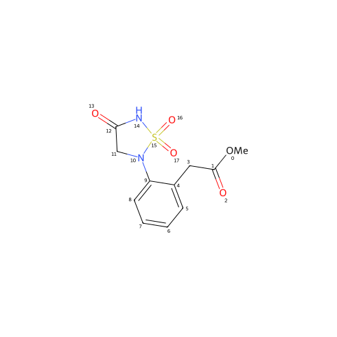 COC(=O)Cc1ccccc1N1CC(=O)NS1(=O)=O